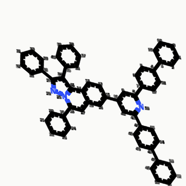 c1ccc(-c2ccc(-c3cc(-c4ccc5c(c4)cc(-c4ccccc4)n4nc(-c6ccccc6)c(-c6ccccc6)c54)cc(-c4ccc(-c5ccccc5)cc4)n3)cc2)cc1